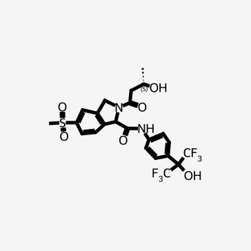 C[C@H](O)CC(=O)N1Cc2cc(S(C)(=O)=O)ccc2C1C(=O)Nc1ccc(C(O)(C(F)(F)F)C(F)(F)F)cc1